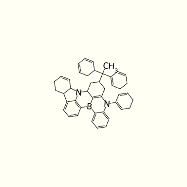 CC(C1=CCCC=C1)(C1C=CC=CC1)C1CC2=C3B(c4ccccc4N2C2=CCCC=C2)c2cccc4c2N(C3C1)C1C=CCCC41